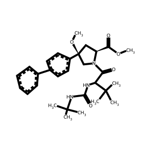 COC(=O)[C@@H]1C[C@@](OC)(c2ccc(-c3ccccc3)cc2)CN1C(=O)C(NC(=O)NC(C)(C)C)C(C)(C)C